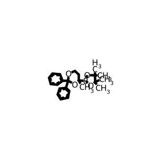 CC1(B2OC(C)(C)C(C)(C)O2)CCOC(c2ccccc2)(c2ccccc2)O1